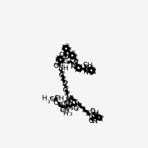 CCCc1nc2ccc(-c3nc4ccccc4n3C)cc2n1Cc1ccc(-c2ccccc2C(=O)Oc2ccc(C(=O)NCCOCCOCCOCCn3cc(CN(CCCCCCN4C(=O)[C@@H]5C6C=CC(C6)[C@@H]5C4=O)C(=O)CCC(=O)NC(C)(C)CCOC(C)C)nn3)cc2)cc1